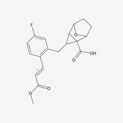 COC(=O)/C=C/c1ccc(F)cc1CC1C2C3CCC(O3)C12C(=O)O